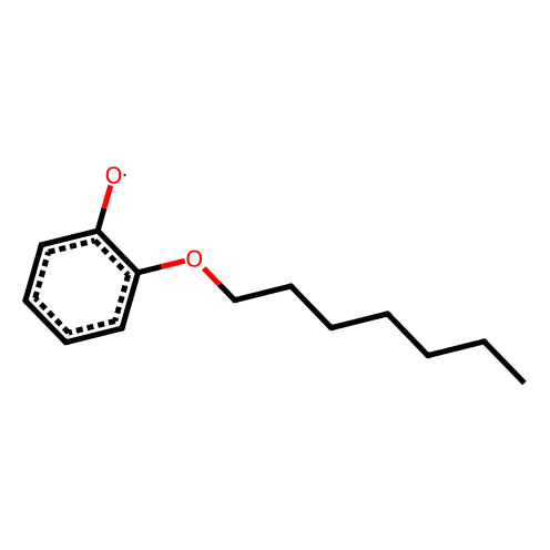 CCCCCCCOc1ccccc1[O]